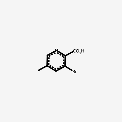 Cc1cnc(C(=O)O)c(Br)c1